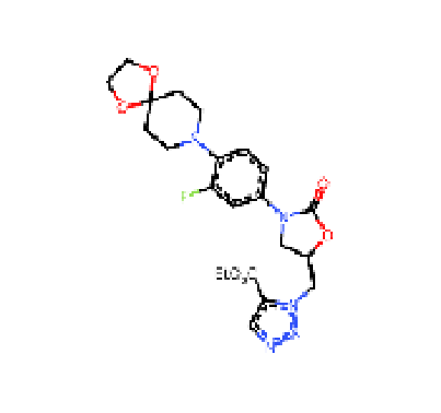 CCOC(=O)c1cnnn1CC1CN(c2ccc(N3CCC4(CC3)OCCO4)c(F)c2)C(=O)O1